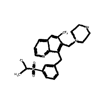 CC(Cl)S(=O)(=O)c1cccc(Cc2c(CN3CCNCC3)c(C(F)(F)F)cc3cccnc23)c1